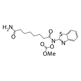 COC(=O)ON(C(=O)CCCCCCC(N)=O)c1nc2ccccc2s1